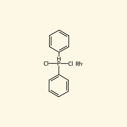 Cl[PH](Cl)(c1ccccc1)c1ccccc1.[Rh]